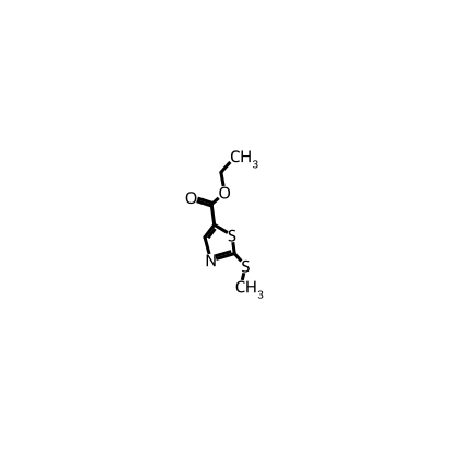 CCOC(=O)c1cnc(SC)s1